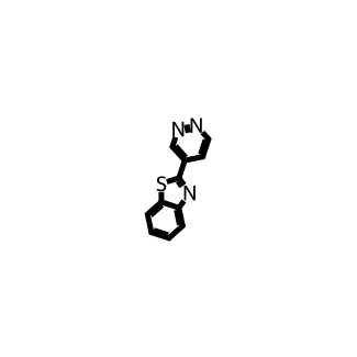 c1ccc2sc(-c3ccnnc3)nc2c1